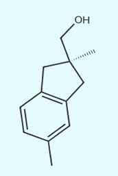 Cc1ccc2c(c1)C[C@](C)(CO)C2